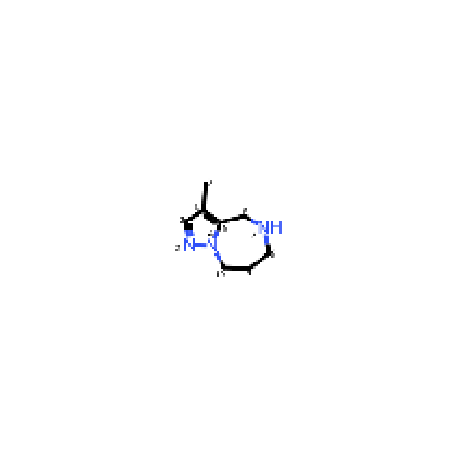 Cc1cnn2c1CNCCC2